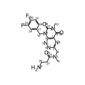 CN(Cc1nnc2c(n1)c(=O)n(C)c(=O)n2Cc1ccc(F)c(F)c1)C(=O)CCN